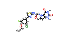 Cc1cc2c(c(=O)n(C)c(=O)n2C)n1CC(=O)Nc1nc(-c2cc(F)c(OCC(C)(C)C)c(Cl)c2)cs1